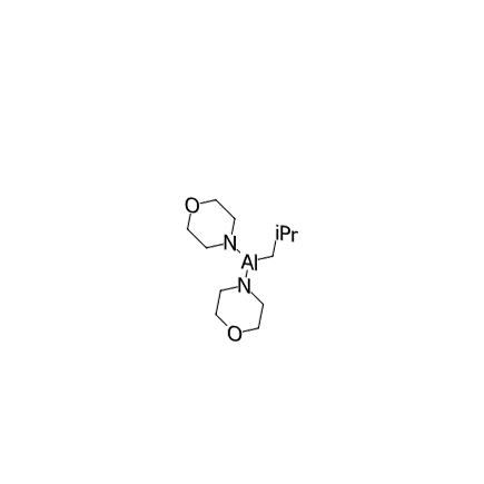 CC(C)[CH2][Al]([N]1CCOCC1)[N]1CCOCC1